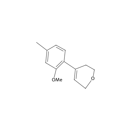 COc1cc(C)ccc1C1=CCOCC1